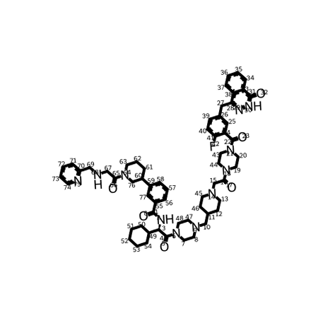 O=C(N[C@@H](C(=O)N1CCN(CC2CCN(CC(=O)N3CCN(C(=O)c4cc(Cc5n[nH]c(=O)c6ccccc56)ccc4F)CC3)CC2)CC1)C1CCCCC1)c1cccc(C2CCCN(C(=O)CNCc3ccccn3)C2)c1